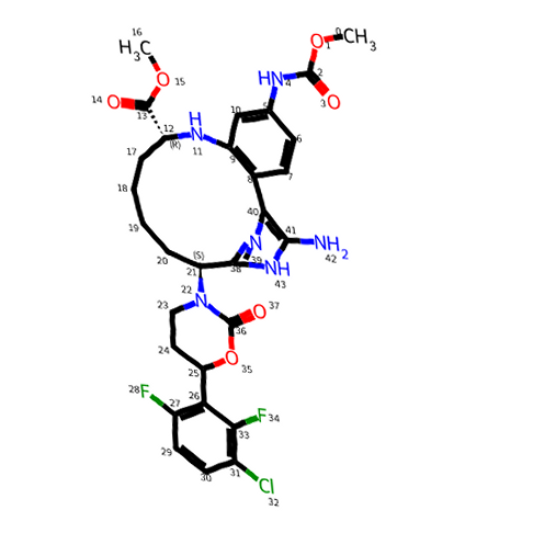 COC(=O)Nc1ccc2c(c1)N[C@@H](C(=O)OC)CCCC[C@H](N1CCC(c3c(F)ccc(Cl)c3F)OC1=O)c1nc-2c(N)[nH]1